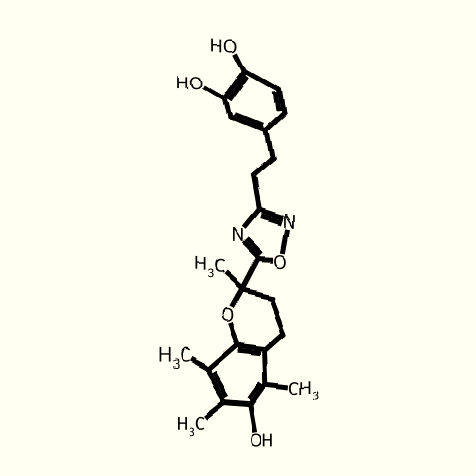 Cc1c(C)c2c(c(C)c1O)CCC(C)(c1nc(CCc3ccc(O)c(O)c3)no1)O2